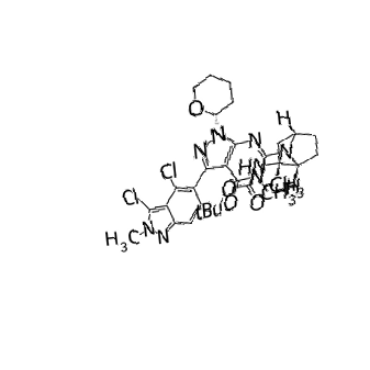 Cn1nc2ccc(-c3nn([C@H]4CCCCO4)c4nc(N5[C@H]6CC[C@@H]5[C@](C)(NC(=O)OC(C)(C)C)C6)n(C)c(=O)c34)c(Cl)c2c1Cl